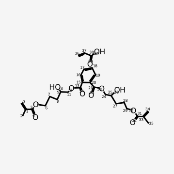 C=C(C)C(=O)OCCCC(O)COC(=O)c1ccccc1C(=O)OCC(O)CCCOC(=O)C(=C)C.C=CC(=O)O